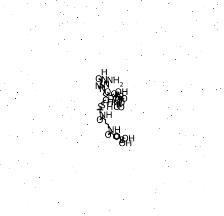 CC(C)(CNC(=O)CCCCNC(=O)c1ccc(B(O)O)cc1)SSCO[C@@H]1C[C@H](n2cnc3c(=O)[nH]c(N)nc32)OC1COP(=O)(O)OP(=O)(O)OP(=O)(O)O